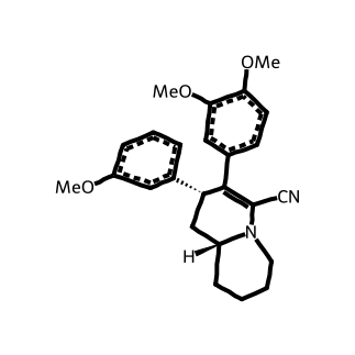 COc1cccc([C@H]2C[C@H]3CCCCN3C(C#N)=C2c2ccc(OC)c(OC)c2)c1